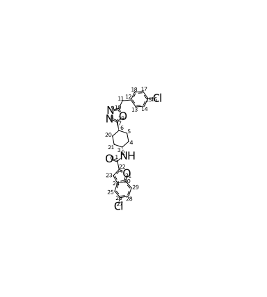 O=C(N[C@H]1CC[C@H](c2nnc(Cc3ccc(Cl)cc3)o2)CC1)c1cc2cc(Cl)ccc2o1